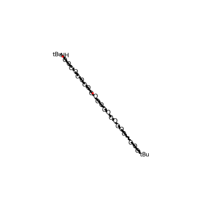 CC(C)(C)CCOCCOCCOCCCCCOCCOCCOCCOCCOCCOCCOCCOCCOCCOCCOCCOCCOCCOCCOCCOCCOCCOCCOCCNC(C)(C)C